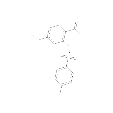 CSc1ccc(C(C)=O)c(OS(=O)(=O)c2ccc(C)cc2)c1